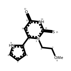 COCCn1c(-c2ccc[nH]2)cc(=O)[nH]c1=S